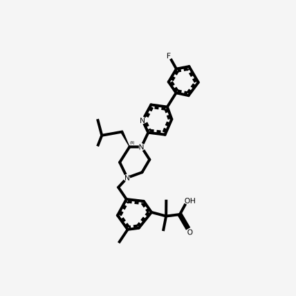 Cc1cc(CN2CCN(c3ccc(-c4cccc(F)c4)cn3)[C@H](CC(C)C)C2)cc(C(C)(C)C(=O)O)c1